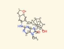 CC1=CC2OCCC2C=C1Nc1ncc2c(n1)n(C13CC4CC(CC(O)(C4)C1)C3)c(=O)n2C